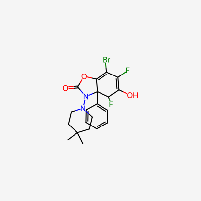 CC1(C)CCN(N2C(=O)OC3=C(Br)C(F)=C(O)C(F)C32c2ccccc2)CC1